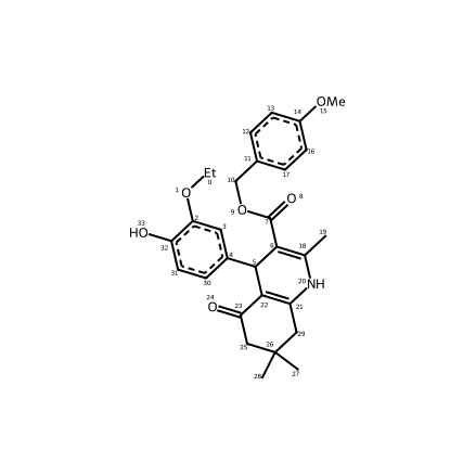 CCOc1cc(C2C(C(=O)OCc3ccc(OC)cc3)=C(C)NC3=C2C(=O)CC(C)(C)C3)ccc1O